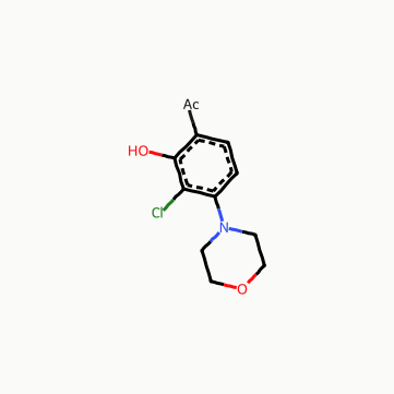 CC(=O)c1ccc(N2CCOCC2)c(Cl)c1O